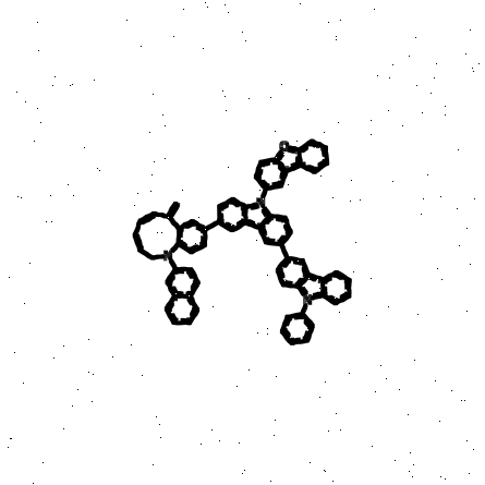 C=C1/C=C\C=C/CN(c2ccc3ccccc3c2)c2ccc(-c3ccc4c(c3)c3cc(-c5ccc6c(c5)c5ccccc5n6-c5ccccc5)ccc3n4-c3ccc4oc5ccccc5c4c3)cc21